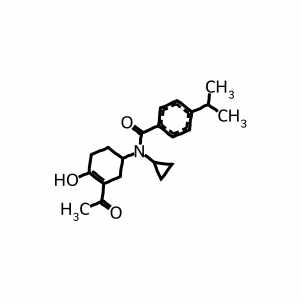 CC(=O)C1=C(O)CCC(N(C(=O)c2ccc(C(C)C)cc2)C2CC2)C1